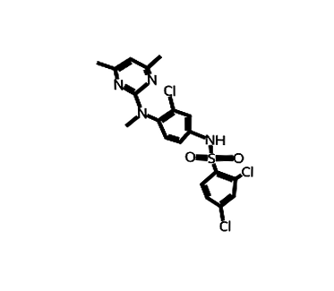 Cc1cc(C)nc(N(C)c2ccc(NS(=O)(=O)c3ccc(Cl)cc3Cl)cc2Cl)n1